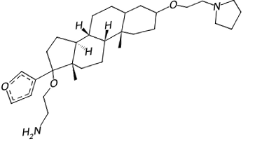 C[C@]12CCC(OCCN3CCCC3)CC1CC[C@@H]1[C@H]2CC[C@@]2(C)[C@H]1CCC2(OCCN)c1ccoc1